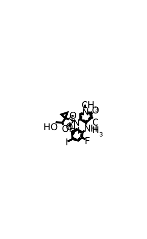 Cc1c(Nc2ccc(I)cc2F)c(NS(=O)(=O)C2(C(O)CO)CC2)cn(C)c1=O